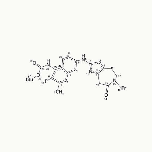 Cc1cc2cc(Nc3cc4n(n3)CC(=O)N(C(C)C)CC4)ncc2c(NC(=O)OC(C)(C)C)c1F